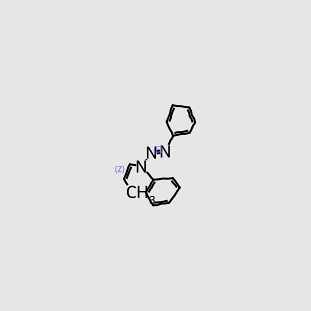 C/C=C\N(/N=N/c1ccccc1)c1ccccc1